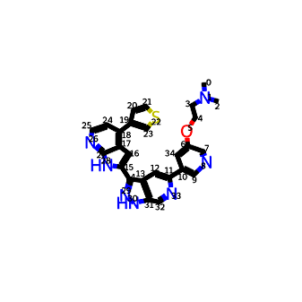 CN(C)CCOc1cncc(-c2cc3c(-c4cc5c(-c6ccsc6)ccnc5[nH]4)n[nH]c3cn2)c1